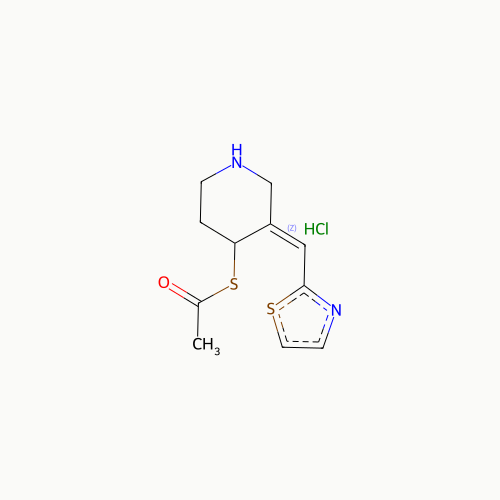 CC(=O)SC1CCNC/C1=C/c1nccs1.Cl